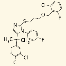 CC(C)(c1ccc(Cl)c(Cl)c1)c1cnc(SCCCOCc2c(F)cccc2Cl)n1-c1ccc(F)cc1